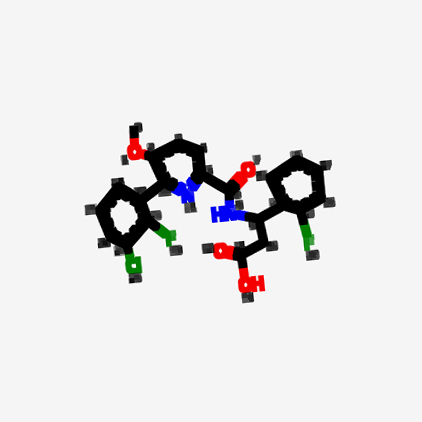 COc1ccc(C(=O)NC(CC(=O)O)c2ccccc2F)nc1-c1cccc(Cl)c1F